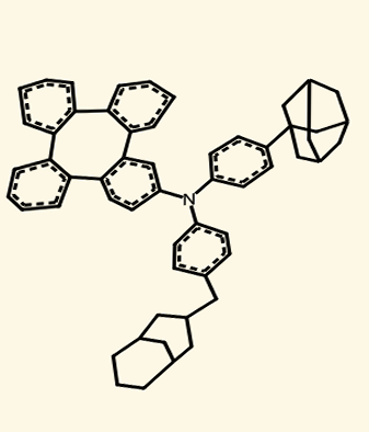 c1ccc2c(c1)-c1ccccc1-c1ccc(N(c3ccc(CC4CC5CCCC(C5)C4)cc3)c3ccc(C45CC6CC(CC(C6)C4)C5)cc3)cc1-c1ccccc1-2